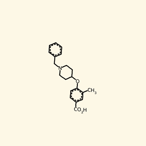 Cc1cc(C(=O)O)ccc1OC1CCN(Cc2ccccc2)CC1